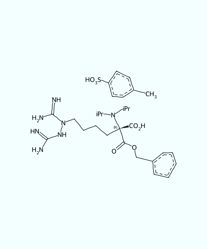 CC(C)N(C(C)C)[C@](CCCCN(NC(=N)N)C(=N)N)(C(=O)O)C(=O)OCc1ccccc1.Cc1ccc(S(=O)(=O)O)cc1